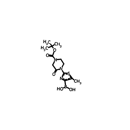 Cc1sc(N2CCN(C(=O)OC(C)(C)C)CC2=O)nc1B(O)O